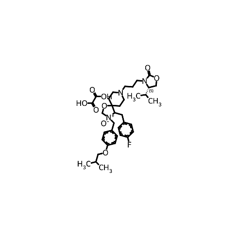 CC(C)COc1ccc(C[N+]2([O-])COC3(CCN(CCCN4C(=O)OC[C@@H]4C(C)C)CC3)C2Cc2ccc(F)cc2)cc1.O=C(O)C(=O)O